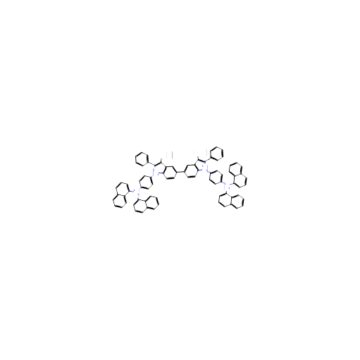 Cc1c(-c2ccccc2)n(-c2ccc(N(c3cccc4ccccc34)c3cccc4ccccc34)cc2)c2ccc(-c3ccc4c(c3)c(C)c(-c3ccccc3)n4-c3ccc(N(c4cccc5ccccc45)c4cccc5ccccc45)cc3)cc12